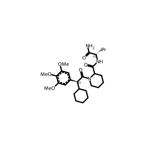 COc1cc([C@@H](C(=O)N2CCCCC2C(=O)N[C@H](C(N)=O)C(C)C)C2CCCCC2)cc(OC)c1OC